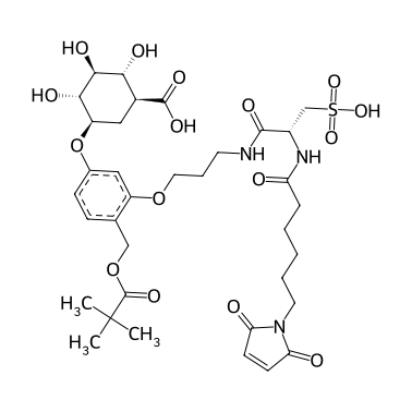 CC(C)(C)C(=O)OCc1ccc(O[C@@H]2C[C@H](C(=O)O)[C@@H](O)[C@H](O)[C@H]2O)cc1OCCCNC(=O)[C@H](CS(=O)(=O)O)NC(=O)CCCCCN1C(=O)C=CC1=O